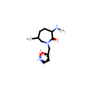 CNC1CCC(C)CN(Cc2ccno2)C1=O